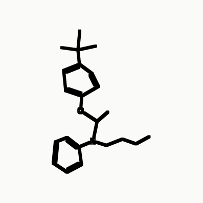 CCCCN(c1ccccc1)C(C)Oc1ccc(C(C)(C)C)cc1